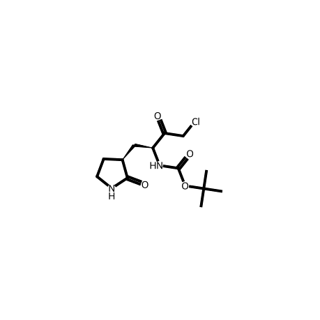 CC(C)(C)OC(=O)N[C@@H](C[C@@H]1CCNC1=O)C(=O)CCl